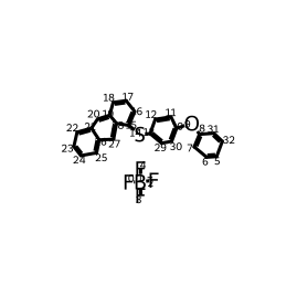 F[B-](F)(F)F.c1ccc(Oc2ccc(Sc3cccc4cc5ccccc5cc34)cc2)cc1